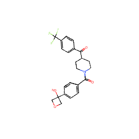 O=C(c1ccc(C(F)(F)F)cc1)C1CCN(C(=O)c2ccc(C3(O)COC3)cc2)CC1